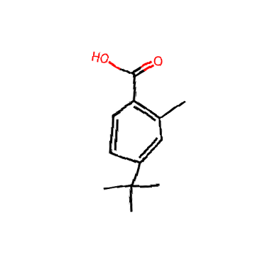 Cc1cc(C(C)(C)C)ccc1C(=O)O